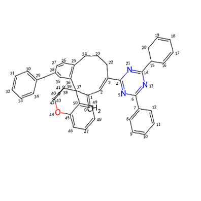 C=C1/C=C(/c2nc(-c3ccccc3)nc(C3C=CC=CC3)n2)CCCc2ccc(-c3ccccc3)cc2C12c1ccccc1Oc1ccccc12